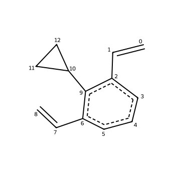 C=Cc1cccc(C=C)c1C1CC1